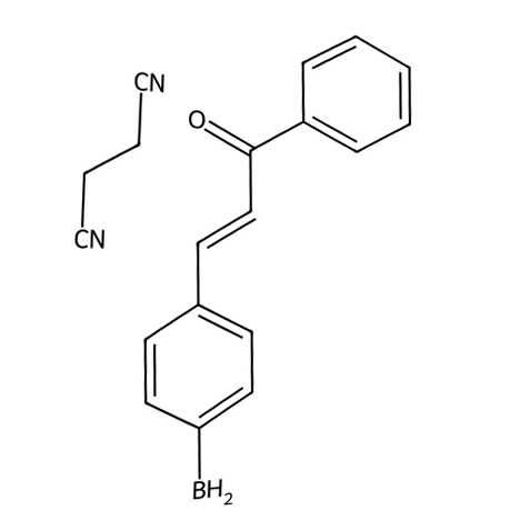 Bc1ccc(C=CC(=O)c2ccccc2)cc1.N#CCCC#N